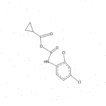 O=C(Nc1ccc(Cl)cc1Cl)OC(=O)C1CC1